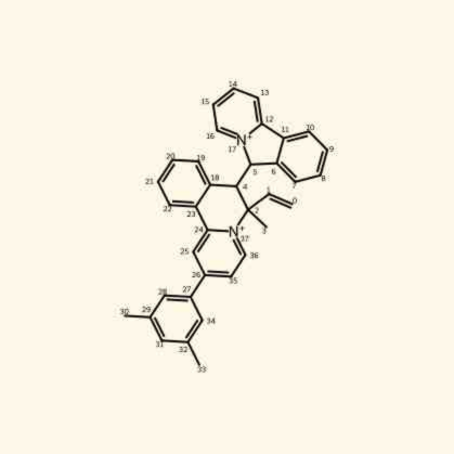 C=CC1(C)C(C2c3ccccc3-c3cccc[n+]32)c2ccccc2-c2cc(-c3cc(C)cc(C)c3)cc[n+]21